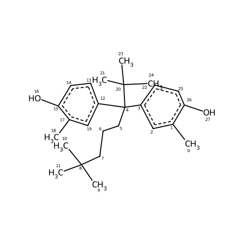 Cc1cc(C(CCCC(C)(C)C)(c2ccc(O)c(C)c2)C(C)(C)C)ccc1O